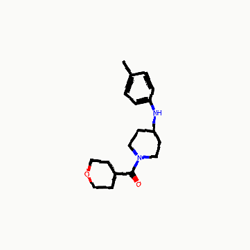 Cc1ccc(NC2CCN(C(=O)C3CCOCC3)CC2)cc1